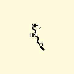 C=COCCNCCN